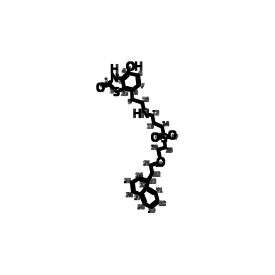 O=c1[nH]c2c(O)ccc(CCNCCCS(=O)(=O)CCOCCc3cccc4ccccc34)c2s1